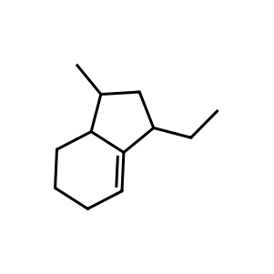 CCC1CC(C)C2CCCC=C12